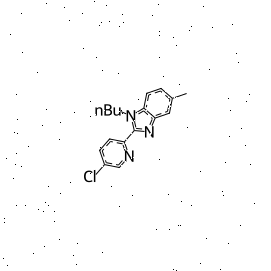 CCCCn1c(-c2ccc(Cl)cn2)nc2cc(C)ccc21